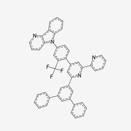 FC(F)(F)c1cc(-n2c3ccccc3c3ncccc32)ccc1-c1cc(-c2cc(-c3ccccc3)cc(-c3ccccc3)c2)nc(-c2ccccn2)c1